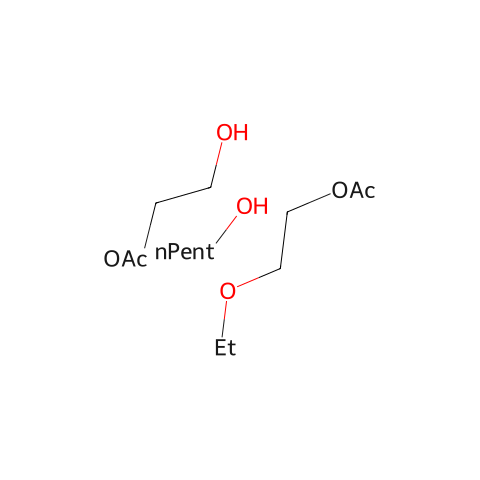 CC(=O)OCCO.CCCCCO.CCOCCOC(C)=O